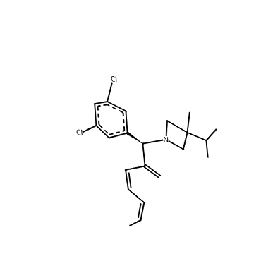 C=C(/C=C\C=C/C)[C@@H](c1cc(Cl)cc(Cl)c1)N1CC(C)(C(C)C)C1